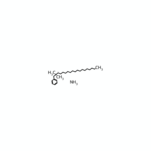 CCCCCCCCCCCCCCCC[CH]C(C)(C)Cc1ccccc1.N